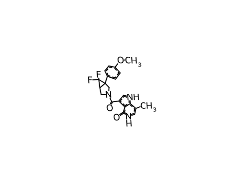 COc1ccc(C23CN(C(=O)c4c[nH]c5c(C)c[nH]c(=O)c45)CC2C3(F)F)cc1